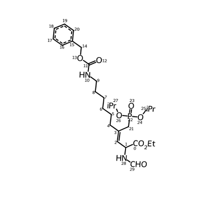 CCOC(=O)C(C=C(CCCCCCNC(=O)OCc1ccccc1)CP(=O)(OC(C)C)OC(C)C)NC=O